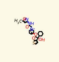 Cc1cc(NC(=O)C[N+]23CCC(CC2)C(OC(=O)[C@](O)(c2ccsc2)C2CCCCC2)C3)no1